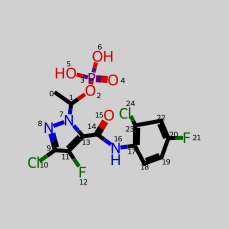 CC(OP(=O)(O)O)n1nc(Cl)c(F)c1C(=O)Nc1ccc(F)cc1Cl